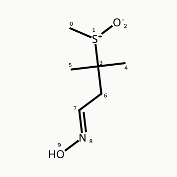 C[S+]([O-])C(C)(C)CC=NO